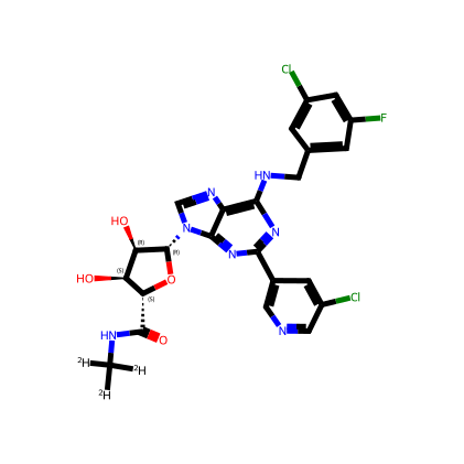 [2H]C([2H])([2H])NC(=O)[C@H]1O[C@@H](n2cnc3c(NCc4cc(F)cc(Cl)c4)nc(-c4cncc(Cl)c4)nc32)[C@H](O)[C@@H]1O